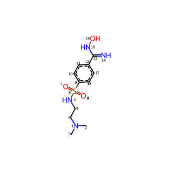 CN(C)CCNS(=O)(=O)c1ccc(C(=N)NO)cc1